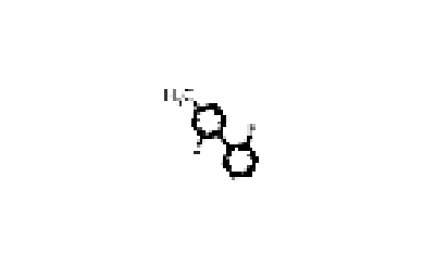 Cc1ccc(-c2ccccc2F)c(F)c1